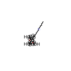 CCCCCCCC/C=C/CCCCCCCC(=O)Oc1cc(S(=O)(=O)O)c2ccc3c(S(=O)(=O)O)cc(S(=O)(=O)O)c4ccc1c2c43